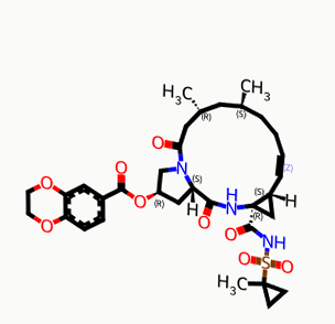 C[C@H]1CC/C=C\[C@@H]2C[C@@]2(C(=O)NS(=O)(=O)C2(C)CC2)NC(=O)[C@@H]2C[C@@H](OC(=O)c3ccc4c(c3)OCCO4)CN2C(=O)C[C@H](C)C1